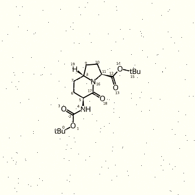 CC(C)(C)OC(=O)N[C@H]1CC[C@@H]2CC[C@@H](C(=O)OC(C)(C)C)N2C1=O